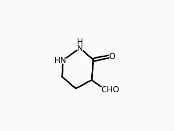 O=CC1CCNNC1=O